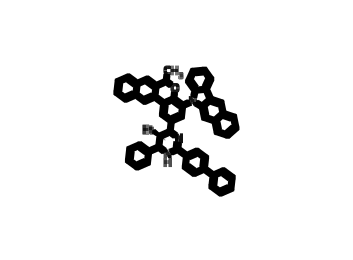 CC[C@H]1C(c2cc3c(c(-n4c5ccccc5c5cc6ccccc6cc54)c2)OC(C)c2cc4ccccc4cc2-3)N=C(c2ccc(-c3ccccc3)cc2)NC1c1ccccc1